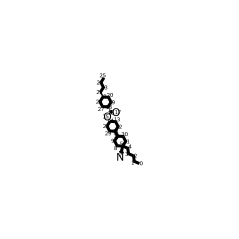 CCCCCC1(C#N)CCC(C2CCC(OC(=O)[C@H]3CC[C@H](CCCC)CC3)CC2)CC1